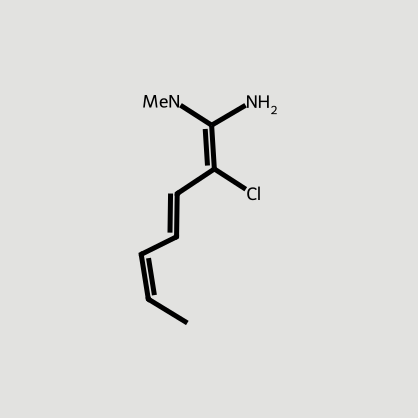 C\C=C/C=C/C(Cl)=C(/N)NC